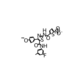 CCOc1ccc(-c2nc(NC(=O)c3ccc([N+](=O)[O-])s3)sc2C(=O)Nc2cc(C)cc(F)c2)cc1